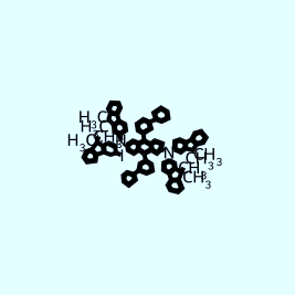 CC1(C)C2=C(CC(I)C(N(c3ccc4c(c3)C(C)(C)c3ccccc3-4)c3ccc4c(-c5cccc(-c6ccccc6)c5)c5cc(N(c6ccc7c(c6)C(C)(C)c6ccccc6-7)c6ccc7c(c6)C(C)(C)c6ccccc6-7)ccc5c(-c5cccc(-c6ccccc6)c5)c4c3)=C2)c2ccccc21